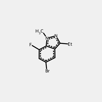 CCc1nn(C)c2c(F)cc(Br)cc12